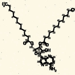 CCCCCCCCCCCCC(=O)OC[C@H]1O[C@@H](n2cnc3c(N)ncnc32)[C@H](O)[C@@H]1OC(=O)CCCCCCCCCCCC